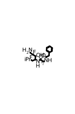 CC(C)CC(NC(=O)[C@@H](C)NC(=O)Cc1ccccc1)C(O)C(F)(F)CN